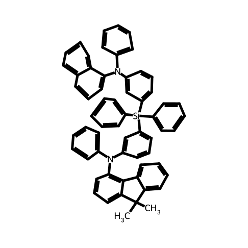 CC1(C)c2ccccc2-c2c(N(c3ccccc3)c3cccc([Si](c4ccccc4)(c4ccccc4)c4cccc(N(c5ccccc5)c5cccc6ccccc56)c4)c3)cccc21